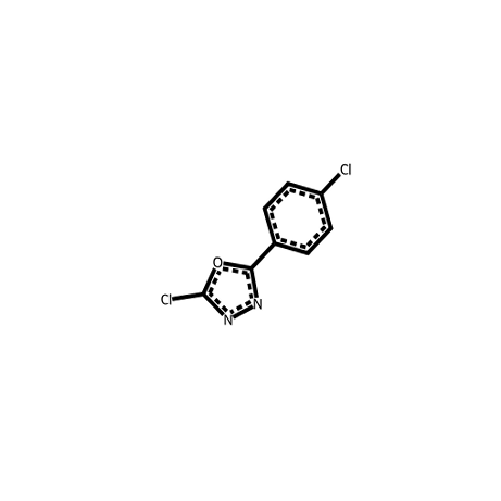 Clc1ccc(-c2nnc(Cl)o2)cc1